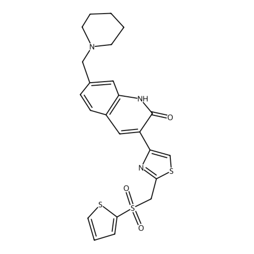 O=c1[nH]c2cc(CN3CCCCC3)ccc2cc1-c1csc(CS(=O)(=O)c2cccs2)n1